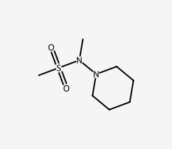 CN(N1CCCCC1)S(C)(=O)=O